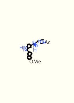 COc1ccc2cc(-c3n[nH]c4ccc(-c5nc(CN6CCN(C(C)=O)CC6)n[nH]5)cc34)ccc2c1